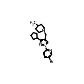 FC(F)(F)C1CCN(Cc2cn(-c3ccc(Br)cn3)nc2C2CCCC2)CC1